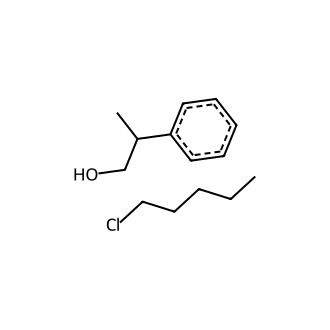 CC(CO)c1ccccc1.CCCCCCl